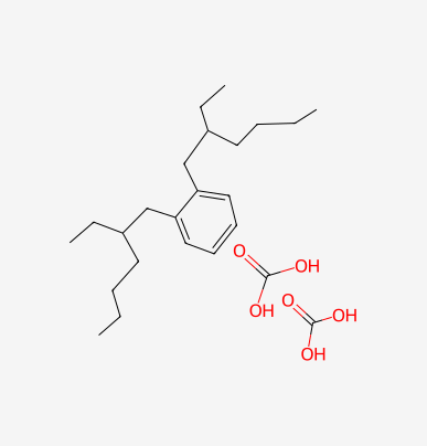 CCCCC(CC)Cc1ccccc1CC(CC)CCCC.O=C(O)O.O=C(O)O